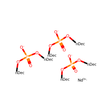 CCCCCCCCCCOP(=O)([O-])OCCCCCCCCCC.CCCCCCCCCCOP(=O)([O-])OCCCCCCCCCC.CCCCCCCCCCOP(=O)([O-])OCCCCCCCCCC.[Nd+3]